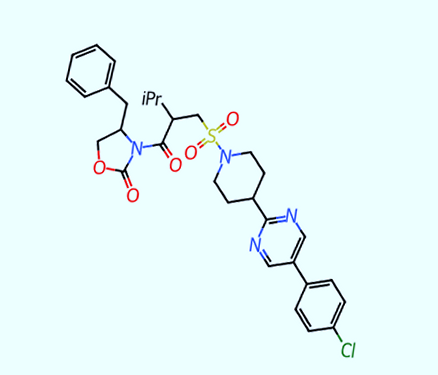 CC(C)C(CS(=O)(=O)N1CCC(c2ncc(-c3ccc(Cl)cc3)cn2)CC1)C(=O)N1C(=O)OCC1Cc1ccccc1